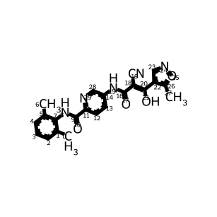 Cc1cccc(C)c1NC(=O)c1ccc(NC(=O)/C(C#N)=C(\O)c2cnoc2C)cn1